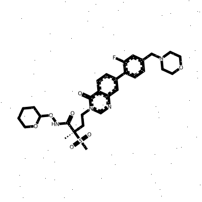 C[C@@](CCn1cnc2cc(-c3ccc(CN4CCOCC4)cc3F)ccc2c1=O)(C(=O)NOC1CCCCO1)S(C)(=O)=O